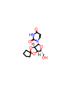 O=c1ccn([C@@H]2O[C@H](CO)[C@H]3OC4(CCCC4)O[C@H]32)c(=O)[nH]1